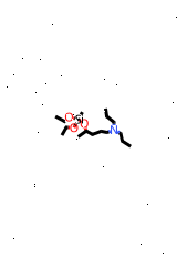 CCCN(CCC)CCCC(C)O[Si](C)(OCC)OCC